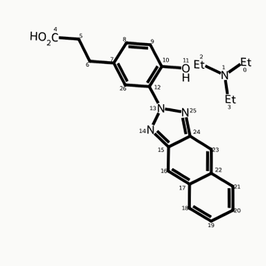 CCN(CC)CC.O=C(O)CCc1ccc(O)c(-n2nc3cc4ccccc4cc3n2)c1